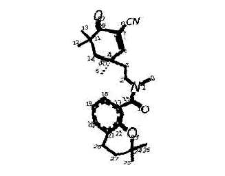 CN(CC[C@]1(C)C=C(C#N)C(=O)C(C)(C)C1)C(=O)c1cccc2c1OC(C)(C)CC2